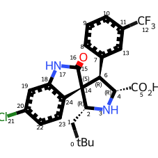 CC(C)(C)C[C@H]1N[C@@H](C(=O)O)[C@H](c2cccc(C(F)(F)F)c2)[C@@]12C(=O)Nc1cc(Cl)ccc12